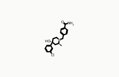 C[C@H]1C[C@@](O)(c2cccc(Cl)c2)CCN1Cc1ccc(C(N)=O)cc1